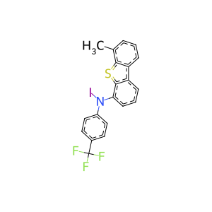 Cc1cccc2c1sc1c(N(I)c3ccc(C(F)(F)F)cc3)cccc12